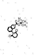 CC(C)(C)OC(=O)N1Cc2cccc(N3C(=O)CCCC3=O)c2C1